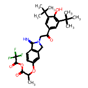 CC(Oc1ccc2c(c1)CN(CC(=O)c1cc(C(C)(C)C)c(O)c(C(C)(C)C)c1)C2=N)C(=O)OC(=O)C(F)(F)F